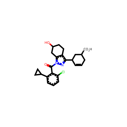 O=C(O)C1CC=CC(c2nn(C(=O)c3c(Cl)cccc3C3CC3)c3c2CCC(O)C3)C1